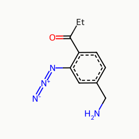 CCC(=O)c1ccc(CN)cc1N=[N+]=[N-]